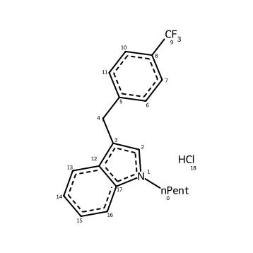 CCCCCn1cc([CH]c2ccc(C(F)(F)F)cc2)c2ccccc21.Cl